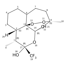 C[C@@H]1[C@@H]2CCCC3CC[C@]4(C)OO[C@]32[C@@H](O4)O[C@@]1(O)C(F)(F)F